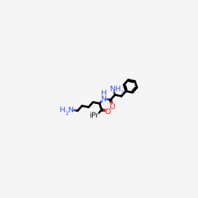 CC(C)C(=O)C(CCCCN)NC(=O)C(N)Cc1ccccc1